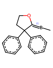 C/B=C1/OCCC1(c1ccccc1)c1ccccc1